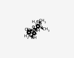 CCOc1cc(C(Nc2ccc(C(=N)N)cc2)C(=O)NNc2ccccc2Cl)ccc1OC(C)C